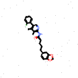 Cc1c(-c2ccccc2Cl)cnc(NC(=O)CCCCc2ccc3c(c2)OCO3)c1C